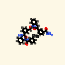 NC(=O)c1cccc(C(=O)CC2CCCCC2NOCc2cccc(C(=O)NC3CCCCC3NC(=O)c3cccc(C=O)c3)c2)c1